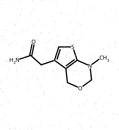 CN1COCc2c(CC(N)=O)csc21